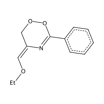 CCO/C=C1/COOC(c2ccccc2)=N1